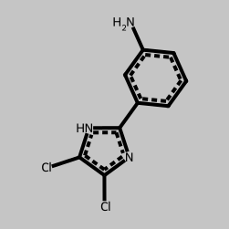 Nc1cccc(-c2nc(Cl)c(Cl)[nH]2)c1